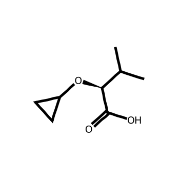 CC(C)[C@H](OC1CC1)C(=O)O